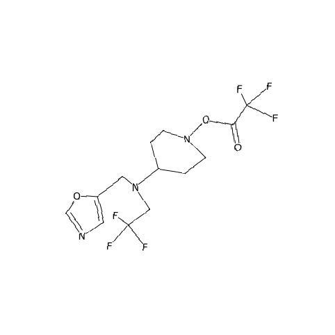 O=C(ON1CCC(N(Cc2cnco2)CC(F)(F)F)CC1)C(F)(F)F